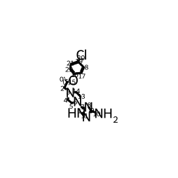 C[C@@H](CN1CCN(c2nc(N)n[nH]2)CC1)Oc1ccc(Cl)cc1